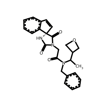 CC(C1COC1)N(Cc1ccccc1)C(=O)CN1C(=O)N[C@]2(C=Cc3ccccc32)C1=O